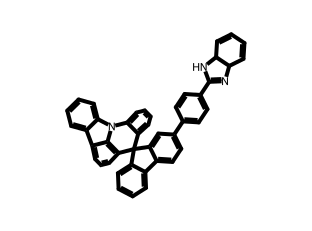 C1=CC2N=C(c3ccc(-c4ccc5c(c4)C4(c6ccccc6-5)c5ccccc5-n5c6ccccc6c6cccc4c65)cc3)NC2C=C1